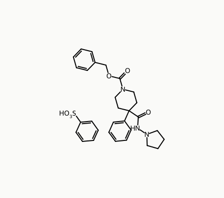 O=C(OCc1ccccc1)N1CCC(C(=O)NN2CCCC2)(c2ccccc2)CC1.O=S(=O)(O)c1ccccc1